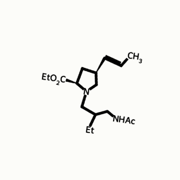 CC=C[C@@H]1C[C@H](C(=O)OCC)N(CC(CC)CNC(C)=O)C1